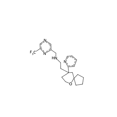 FC(F)(F)c1cncc(CNCCC2(c3ccccn3)CCOC3(CCCC3)C2)n1